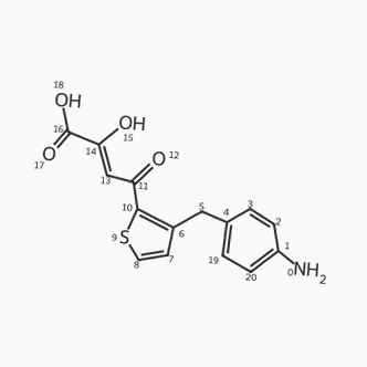 Nc1ccc(Cc2ccsc2C(=O)/C=C(\O)C(=O)O)cc1